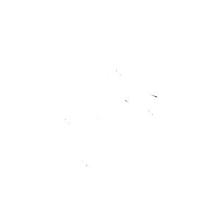 C[C@@H](NC=O)[C@H]1C(=O)N2C(C(=O)O)=C(S[C@@H]3CN[C@H](C(=O)N(C)C)C3)[C@H](C)[C@H]12